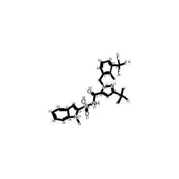 Cc1c(Cn2nc(C(C)(C)C)cc2C(=O)NS(=O)(=O)c2cc3ccccc3n2C)cccc1C(F)(F)F